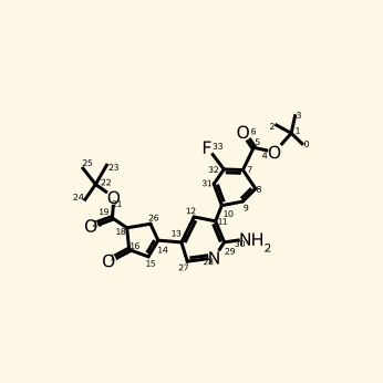 CC(C)(C)OC(=O)c1ccc(-c2cc(C3=CC(=O)C(C(=O)OC(C)(C)C)C3)cnc2N)cc1F